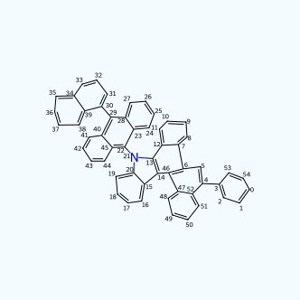 c1ccc(-c2cc3c4ccccc4c4c(c5ccccc5n4-c4c5ccccc5c(-c5cccc6ccccc56)c5ccccc45)c3c3ccccc23)cc1